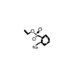 C=COS(=O)(=O)c1ccccc1C.[Na]